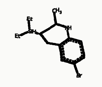 CC[SiH](CC)[C@@H]1Cc2cc(Br)ccc2NC1C